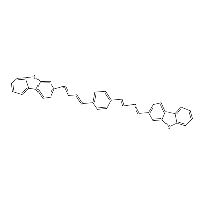 C(/C=C/c1ccc2c(c1)sc1ccccc12)=C\c1ccc(/C=C/C=C/c2ccc3c(c2)sc2ccccc23)cc1